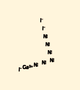 [Ga+3].[I-].[I-].[I-].[N].[N].[N].[N].[N].[N]